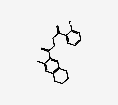 C=C(CCC(=C)c1ccccc1F)c1cc2c(cc1C)CCCC2